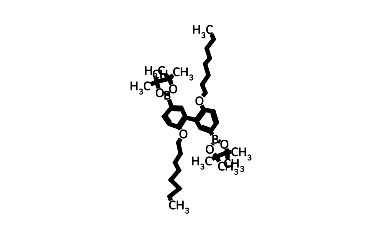 CCCCCCCCOc1ccc(B2OC(C)(C)C(C)(C)O2)cc1-c1cc(B2OC(C)(C)C(C)(C)O2)ccc1OCCCCCCCC